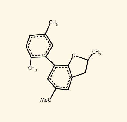 COc1cc2c(c(-c3cc(C)ccc3C)c1)OC(C)C2